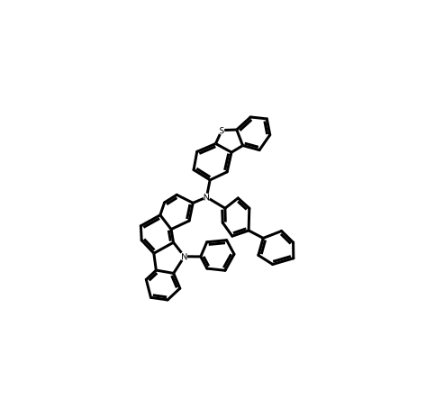 c1ccc(-c2ccc(N(c3ccc4sc5ccccc5c4c3)c3ccc4ccc5c6ccccc6n(-c6ccccc6)c5c4c3)cc2)cc1